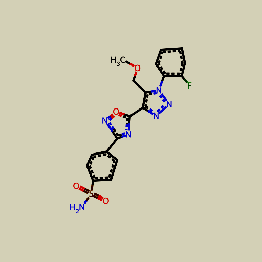 COCc1c(-c2nc(-c3ccc(S(N)(=O)=O)cc3)no2)nnn1-c1ccccc1F